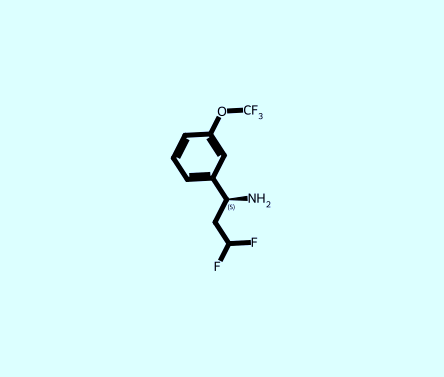 N[C@@H](CC(F)F)c1cccc(OC(F)(F)F)c1